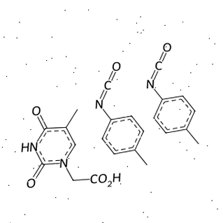 Cc1ccc(N=C=O)cc1.Cc1ccc(N=C=O)cc1.Cc1cn(CC(=O)O)c(=O)[nH]c1=O